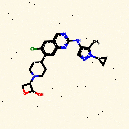 Cc1c(Nc2ncc3cc(Cl)c(C4CCN(C5COC5O)CC4)cc3n2)cnn1C1CC1